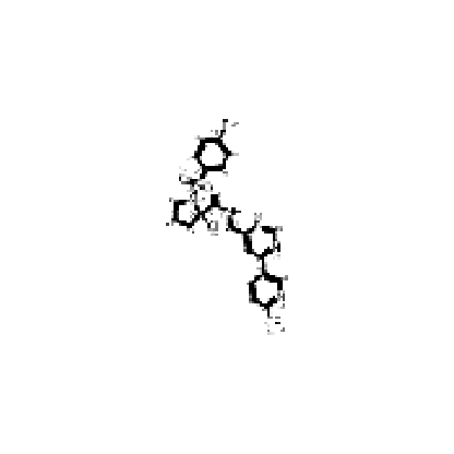 C=C(NCc1cc(-c2ccc(C(F)(F)F)nc2)ncn1)[C@]1(C=O)CCCN1S(=O)(=O)c1ccc(F)cc1